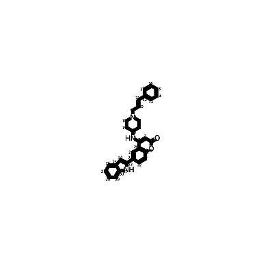 O=c1cc(NC2CCN(CC=Cc3ccccc3)CC2)c2cc(-c3cc4ccccc4[nH]3)ccc2o1